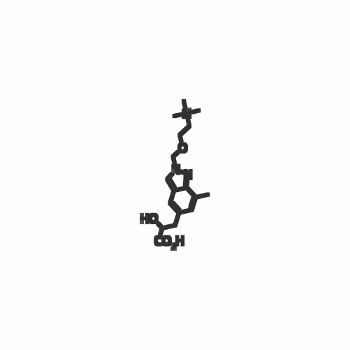 Cc1cc(CC(O)C(=O)O)cc2cn(COCC[Si](C)(C)C)nc12